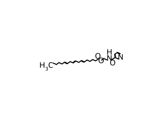 CCCCCC=CCC=CCC=CCCCCC(=O)OCCNC(=O)c1cccnc1